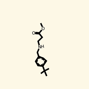 COC(=O)CCNCc1ccc(C(C)(C)C)cc1